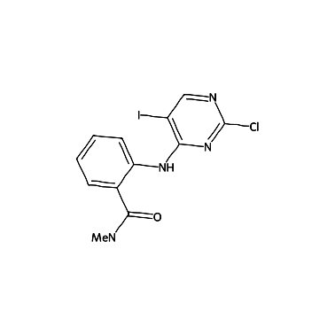 CNC(=O)c1ccccc1Nc1nc(Cl)ncc1I